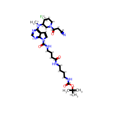 CN(c1ncnc2c1ccn2C(=O)NCCCC(=O)NCCCCNC(=O)OC(C)(C)C)C1CN(C(=O)CC#N)CC[C@H]1F